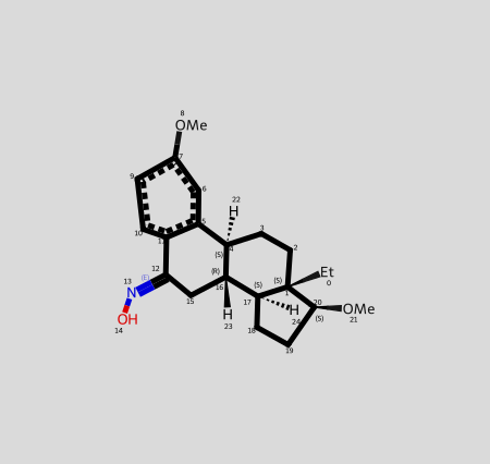 CC[C@]12CC[C@@H]3c4cc(OC)[c]cc4/C(=N/O)C[C@H]3[C@@H]1CC[C@@H]2OC